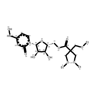 CCOCC(COCC)(COCC)C(=O)OC[C@H]1O[C@@H](n2ccc(NO)nc2=O)[C@H](O)[C@@H]1O